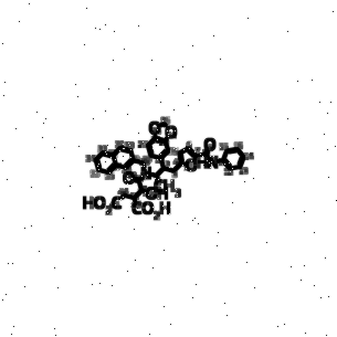 CC(C(Cc1ccc(C(=O)Nc2ccccc2)o1)c1ccc2c(c1)OCO2)N(Cc1ccc2ccccc2c1)C(=O)C(O)C(CC(=O)O)C(=O)O